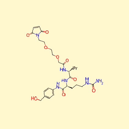 CC(C)[C@H](NC(=O)COCCOCCN1C(=O)C=CC1=O)C(=O)N[C@@H](CCCNC(N)=O)C(=O)Nc1ccc(CO)cc1